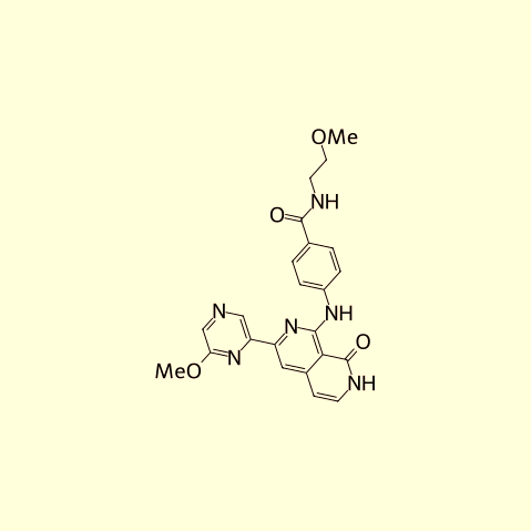 COCCNC(=O)c1ccc(Nc2nc(-c3cncc(OC)n3)cc3cc[nH]c(=O)c23)cc1